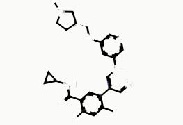 Cc1cc(F)c(C(=O)NC2CC2)cc1/C(C=N)=C/Nc1cncc(OC[C@H]2CCN(C)C2)c1